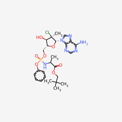 CC(NP(=O)(OC[C@H]1O[C@@H](n2cnc3c(N)ncnc32)[C@](C)(Cl)[C@@H]1O)Oc1ccccc1)C(=O)OCC(C)(C)C